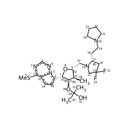 CSc1ncnn2c([C@@H]3O[C@H](CN4CC(F)(F)C[C@H]4CCN4CCCC4)[C@@H](C)[C@H]3OC(C)(C)O)ccc12